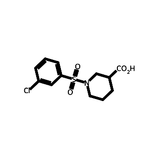 O=C(O)C1CCCN(S(=O)(=O)c2cccc(Cl)c2)C1